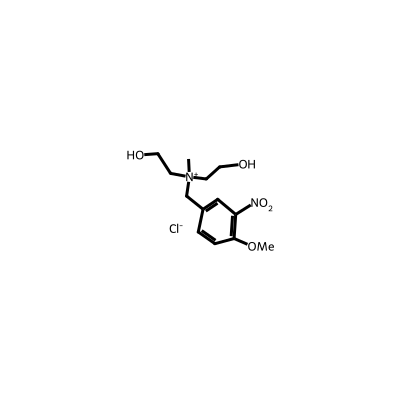 COc1ccc(C[N+](C)(CCO)CCO)cc1[N+](=O)[O-].[Cl-]